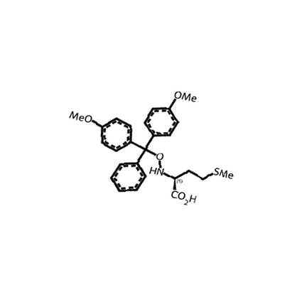 COc1ccc(C(ON[C@@H](CCSC)C(=O)O)(c2ccccc2)c2ccc(OC)cc2)cc1